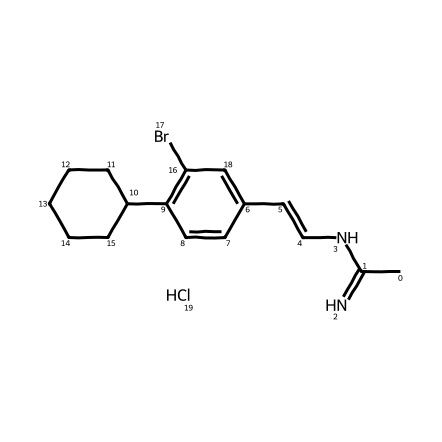 CC(=N)NC=Cc1ccc(C2CCCCC2)c(Br)c1.Cl